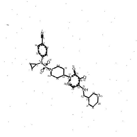 N#Cc1ccc(N(C2CC2)S(=O)(=O)N2CCC(n3ncc(NCC4CCCOC4)c(Cl)c3=O)CC2)cc1